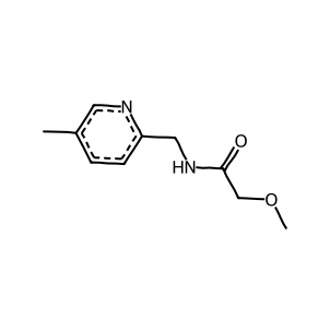 COCC(=O)NCc1ccc(C)cn1